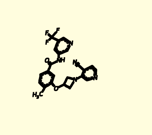 Cc1ccc(C(=O)Nc2cncc(C(F)(F)F)c2)cc1OC1CN(c2cnccc2C#N)C1